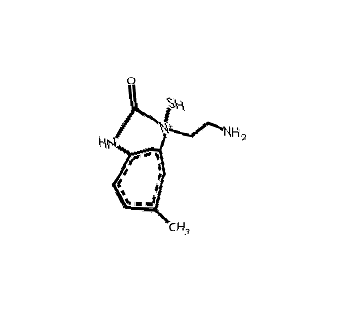 Cc1ccc2c(c1)[N+](S)(CCN)C(=O)N2